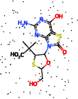 CC(C)(C(=O)O)C1SC(CO)OC1n1c(=O)sc2c(O)nc(N)nc21